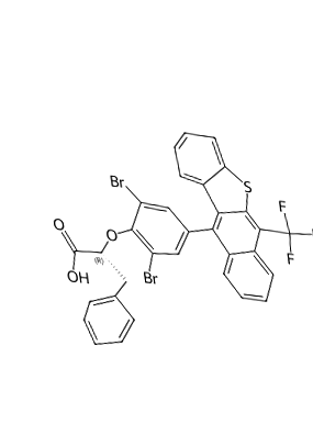 O=C(O)[C@@H](Cc1ccccc1)Oc1c(Br)cc(-c2c3ccccc3c(C(F)(F)F)c3sc4ccccc4c23)cc1Br